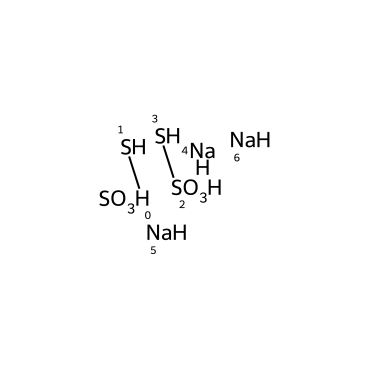 O=S(=O)(O)S.O=S(=O)(O)S.[NaH].[NaH].[NaH]